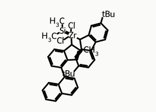 CC1=Cc2c(-c3cccc4ccccc34)cccc2[CH]1[Zr]([Cl])([Cl])([CH]1c2cc(C(C)(C)C)ccc2-c2ccc(C(C)(C)C)cc21)=[Si](C)C